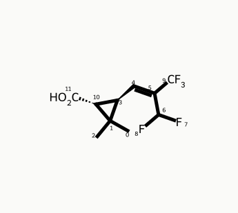 CC1(C)[C@H](C=C(C(F)F)C(F)(F)F)[C@H]1C(=O)O